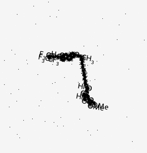 COCC1OC(n2cc(CCC(=O)NCCCCCCSSCCCCCCN(C)CCOc3ccc4c(c3)CCC3C4CCC4(C)C(OCCCOC(C(F)(F)F)(C(F)(F)F)C(F)(F)F)CCC34)c(=O)[nH]c2=O)CC1OC